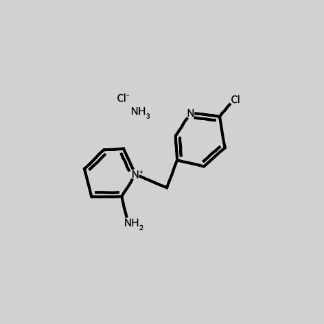 N.Nc1cccc[n+]1Cc1ccc(Cl)nc1.[Cl-]